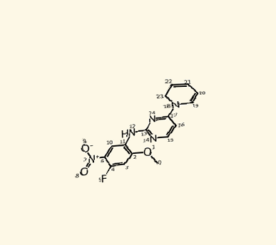 COc1cc(F)c([N+](=O)[O-])cc1Nc1nccc(N2C=CC=CC2)n1